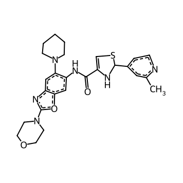 Cc1cc(C2NC(C(=O)Nc3cc4oc(N5CCOCC5)nc4cc3N3CCCCC3)=CS2)ccn1